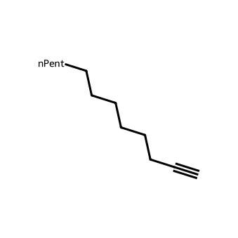 C#CCCCCCCCCCCC